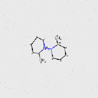 CC1CCCCN1N1CCCCC1C